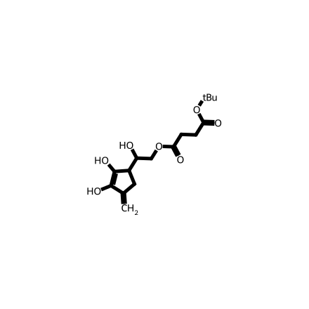 C=C1CC(C(O)COC(=O)CCC(=O)OC(C)(C)C)C(O)=C1O